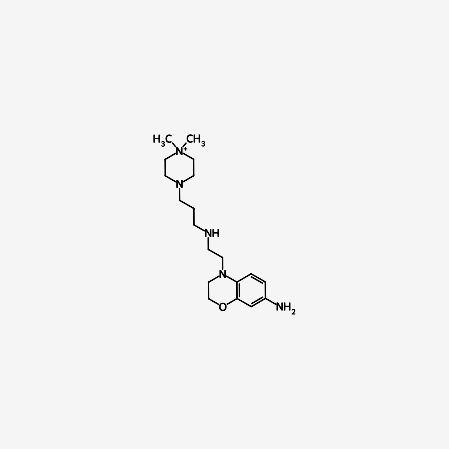 C[N+]1(C)CCN(CCCNCCN2CCOc3cc(N)ccc32)CC1